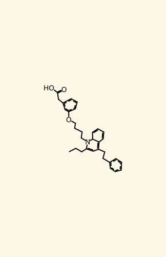 CCCC1=CC(CCc2ccccc2)=C2C=CC=CC2N1CCCCOc1cccc(CC(=O)O)c1